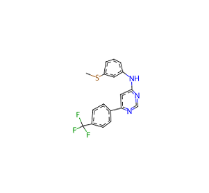 CSc1cccc(Nc2cc(-c3ccc(C(F)(F)F)cc3)ncn2)c1